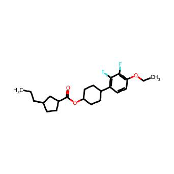 CCCC1CCC(C(=O)OC2CCC(c3ccc(OCC)c(F)c3F)CC2)C1